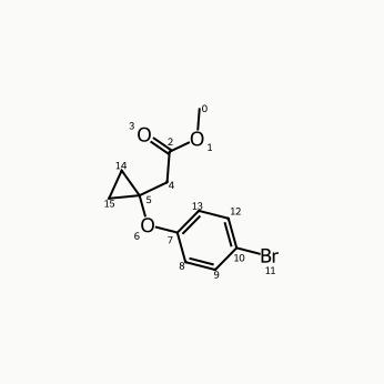 COC(=O)CC1(Oc2ccc(Br)cc2)CC1